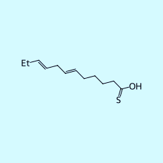 CCC=CCC=CCCCCC(O)=S